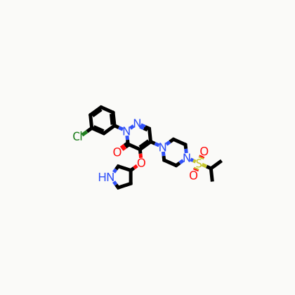 CC(C)S(=O)(=O)N1CCN(c2cnn(-c3cccc(Cl)c3)c(=O)c2OC2CCNC2)CC1